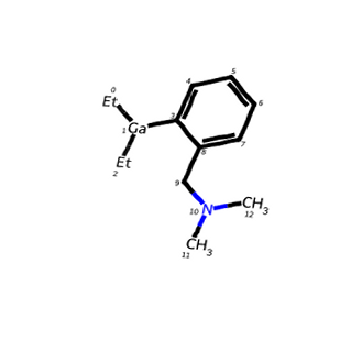 C[CH2][Ga]([CH2]C)[c]1ccccc1CN(C)C